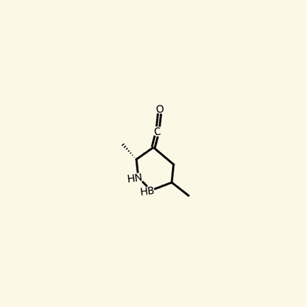 CC1BN[C@H](C)C(=C=O)C1